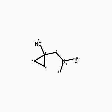 CC(C)N(C)CC1(C#N)CC1